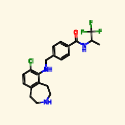 CC(NC(=O)c1ccc(CNc2c(Cl)ccc3c2CCNCC3)cc1)C(F)(F)F